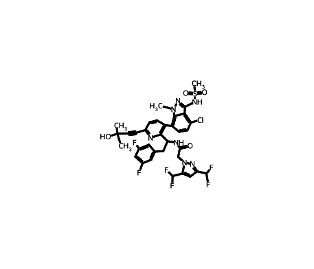 Cn1nc(NS(C)(=O)=O)c2c(Cl)ccc(-c3ccc(C#CC(C)(C)O)nc3C(Cc3cc(F)cc(F)c3)NC(=O)Cn3nc(C(F)F)cc3C(F)F)c21